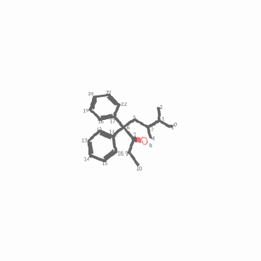 [CH2]C(C)C(C)CC(C(=O)CC)(c1ccccc1)c1ccccc1